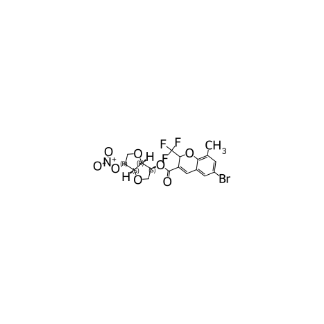 Cc1cc(Br)cc2c1OC(C(F)(F)F)C(C(=O)O[C@H]1CO[C@H]3[C@@H]1OC[C@H]3O[N+](=O)[O-])=C2